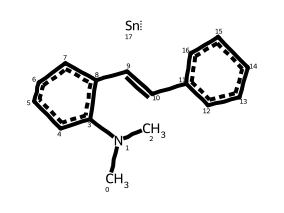 CN(C)c1ccccc1C=Cc1ccccc1.[Sn]